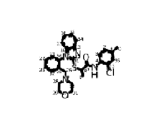 Cc1ccc(NC(=O)C(C)Sc2nc3ccccc3n2-c2ccccc2CN2CCOCC2)c(Cl)c1